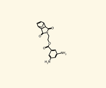 Nc1cc(N)cc(C(=O)OCCN2C(=O)C3C4C=CC(O4)C3C2=O)c1